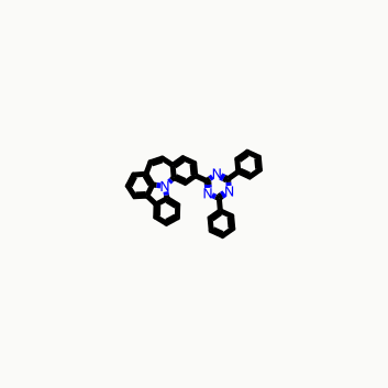 C1=Cc2cccc3c4ccccc4n(c23)-c2cc(-c3nc(-c4ccccc4)nc(-c4ccccc4)n3)ccc21